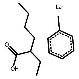 CCCCC(CC)C(=O)O.Cc1ccccc1.[La]